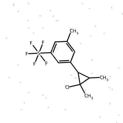 Cc1cc(C2C(C)C2(C)Cl)cc(S(F)(F)(F)(F)F)c1